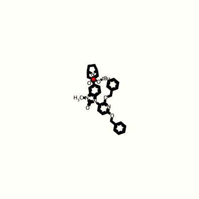 Cn1c(=O)n(-c2ccc(OCc3ccccc3)nc2OCc2ccccc2)c2ccc(C3=CC4CCC(C3)N4C(=O)OC(C)(C)C)cc21